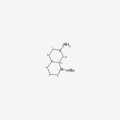 CCCCN1CCCC2CCC(N)CC21